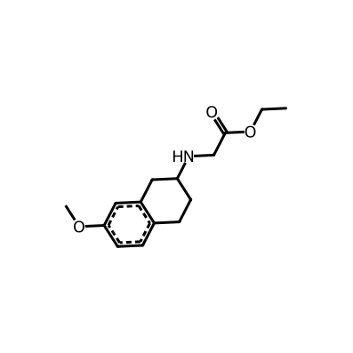 CCOC(=O)CNC1CCc2ccc(OC)cc2C1